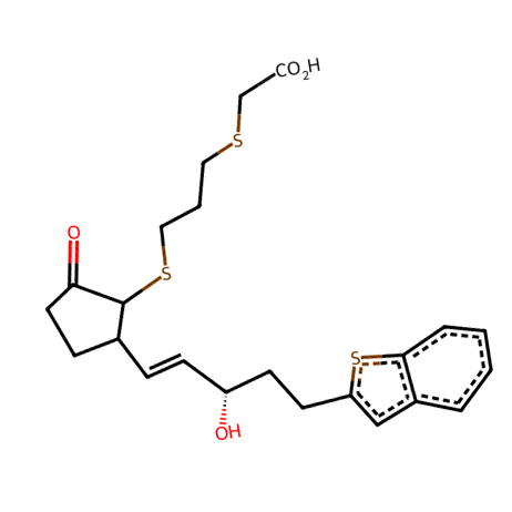 O=C(O)CSCCCSC1C(=O)CCC1/C=C/[C@@H](O)CCc1cc2ccccc2s1